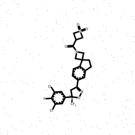 O=C(C1CS(=O)(=O)C1)N1CC2(CCc3cc(C4=NO[C@@](c5cc(Cl)c(F)c(Cl)c5)(C(F)(F)F)C4)ccc32)C1